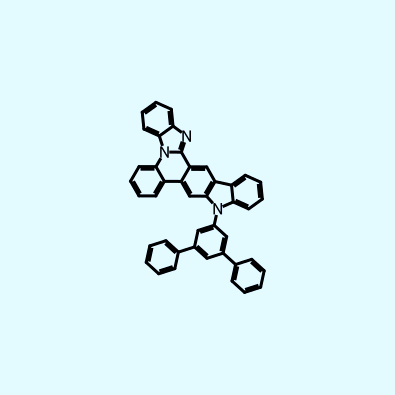 c1ccc(-c2cc(-c3ccccc3)cc(-n3c4ccccc4c4cc5c(cc43)c3ccccc3n3c4ccccc4nc53)c2)cc1